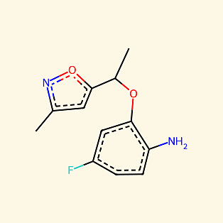 Cc1cc(C(C)Oc2cc(F)ccc2N)on1